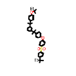 CCC(C)(C)Oc1ccc(C(C)(C)c2cccc(C(C)(C)c3ccc(Oc4ccc(S(=O)(=O)c5ccc(C(C)(C)CC)cc5)cc4)cc3)c2)cc1